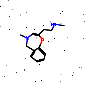 CNCCC1=CN(C)Cc2ccccc2O1